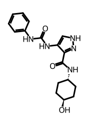 O=C(Nc1ccccc1)Nc1c[nH]nc1C(=O)N[C@H]1CC[C@H](O)CC1